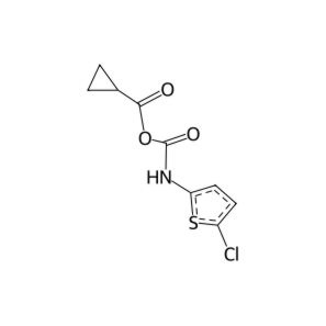 O=C(Nc1ccc(Cl)s1)OC(=O)C1CC1